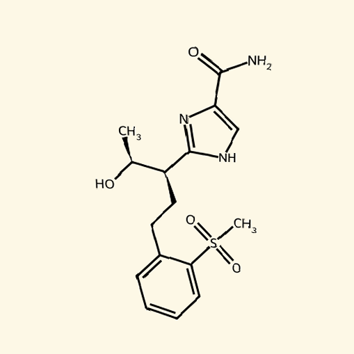 C[C@H](O)[C@H](CCc1ccccc1S(C)(=O)=O)c1nc(C(N)=O)c[nH]1